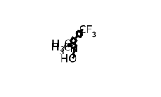 CC1(C)CN(CCCO)Cc2cc(-c3ccc(C(F)(F)F)cc3)ccc21